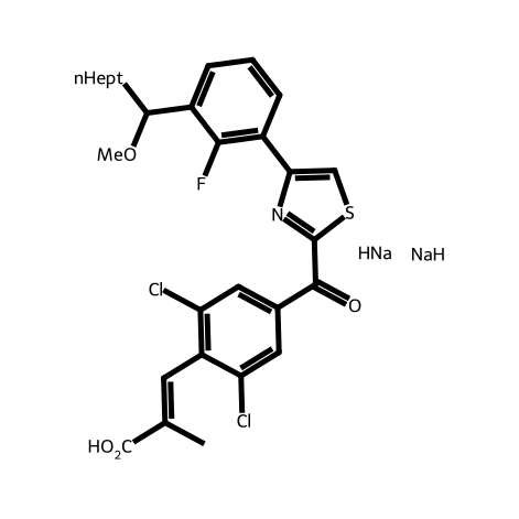 CCCCCCCC(OC)c1cccc(-c2csc(C(=O)c3cc(Cl)c(/C=C(\C)C(=O)O)c(Cl)c3)n2)c1F.[NaH].[NaH]